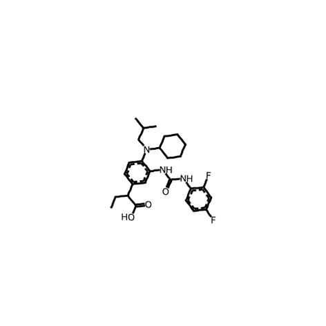 CCC(C(=O)O)c1ccc(N(CC(C)C)C2CCCCC2)c(NC(=O)Nc2ccc(F)cc2F)c1